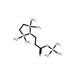 C[Si](C)(C)OC(=O)CCN1[Si](C)(C)CC[Si]1(C)C